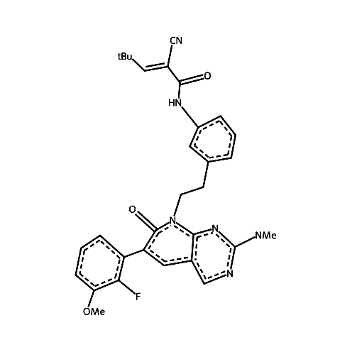 CNc1ncc2cc(-c3cccc(OC)c3F)c(=O)n(CCc3cccc(NC(=O)C(C#N)=CC(C)(C)C)c3)c2n1